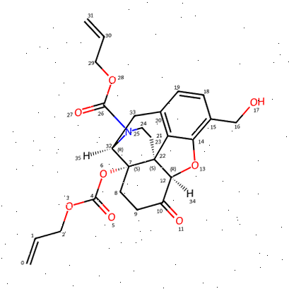 C=CCOC(=O)O[C@@]12CCC(=O)[C@@H]3Oc4c(CO)ccc5c4[C@@]31CCN(C(=O)OCC=C)[C@@H]2C5